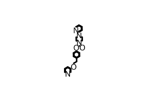 O=C(Oc1ccc(CCOc2cccnc2)cc1)N1CCN(c2ccccn2)CC1